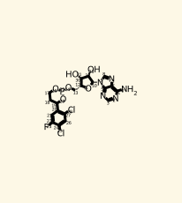 Nc1ncnc2c1ncn2[C@@H]1O[C@H](COP2OCCC(c3cc(F)c(Cl)cc3Cl)O2)[C@@H](O)[C@H]1O